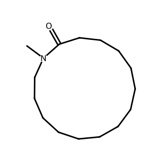 CN1CCCCCCCCCCCCCC1=O